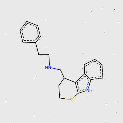 c1ccc(CCNCC2CCSc3[nH]c4ccccc4c32)cc1